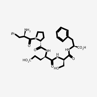 CC(C)C[C@@H](N)C(=O)N1CCC[C@@H]1C(=O)N[C@H](CCC(=O)O)C(=O)N[C@H](CO)C(=O)N[C@@H](Cc1ccccc1)C(=O)O